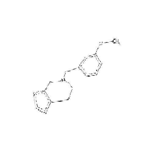 COc1cccc(CN2CCc3ccsc3C2)c1